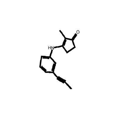 CC#Cc1cccc(NC2=C(C)C(=O)CC2)c1